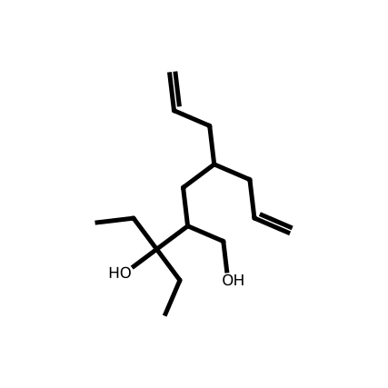 C=CCC(CC=C)CC(CO)C(O)(CC)CC